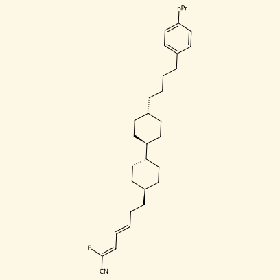 CCCc1ccc(CCCC[C@H]2CC[C@H]([C@H]3CC[C@H](CCC=CC=C(F)C#N)CC3)CC2)cc1